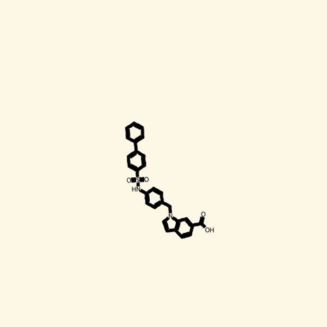 O=C(O)c1ccc2ccn(Cc3ccc(NS(=O)(=O)c4ccc(-c5ccccc5)cc4)cc3)c2c1